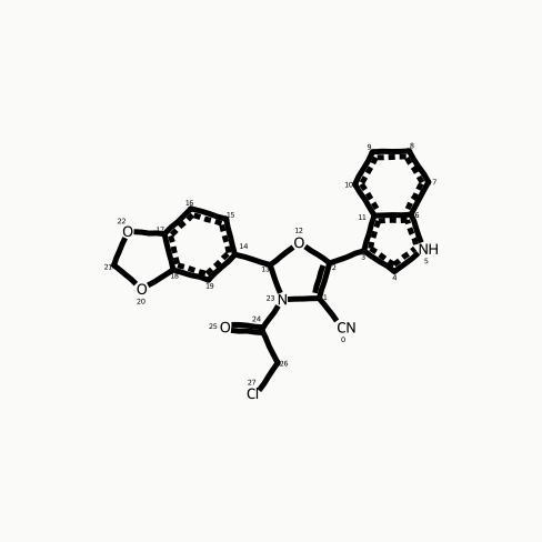 N#CC1=C(c2c[nH]c3ccccc23)OC(c2ccc3c(c2)OCO3)N1C(=O)CCl